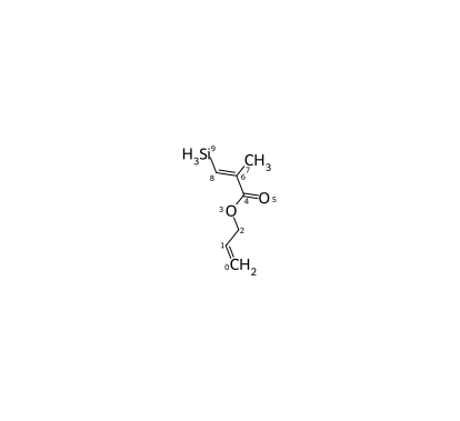 C=CCOC(=O)C(C)=C[SiH3]